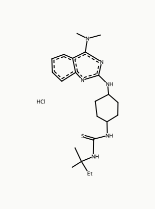 CCC(C)(C)NC(=S)NC1CCC(Nc2nc(N(C)C)c3ccccc3n2)CC1.Cl